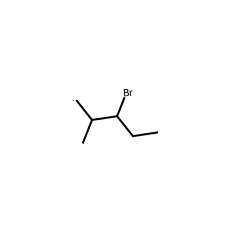 [CH2]C(C)C(Br)CC